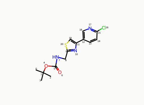 CC(C)(C)OC(=O)NCc1nc(-c2ccc(Cl)nc2)cs1